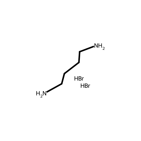 Br.Br.NCCCCN